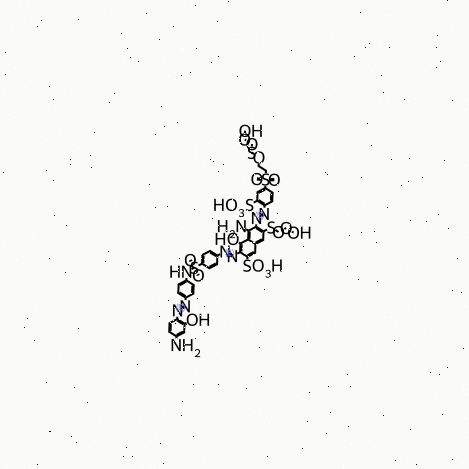 Nc1ccc(/N=N/c2ccc(NS(=O)(=O)c3ccc(/N=N/c4c(S(=O)(=O)O)cc5cc(SOOO)c(/N=N/c6ccc(S(=O)(=O)CCOSOOO)cc6S(=O)(=O)O)c(N)c5c4O)cc3)cc2)c(O)c1